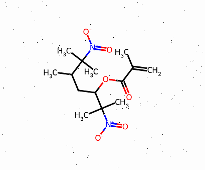 C=C(C)C(=O)OC(CC(C)C(C)(C)[N+](=O)[O-])C(C)(C)[N+](=O)[O-]